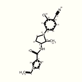 C=Cn1cnc(C(=O)N[C@H]2CCN(c3ccc(C#N)c(Cl)c3)[C@H]2C)c1